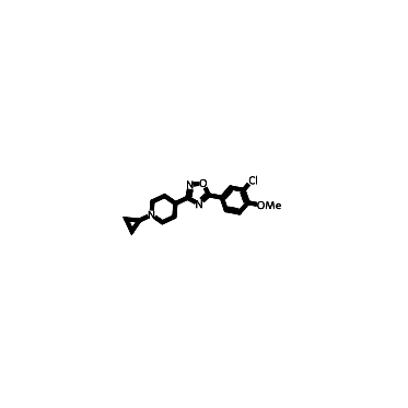 COc1ccc(-c2nc(C3CCN(C4CC4)CC3)no2)cc1Cl